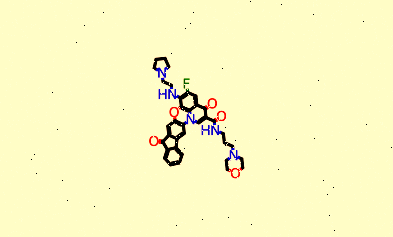 O=C(NCCCN1CCOCC1)c1cn2c3cc4c(cc3oc3c(NCCN5CCCC5)c(F)cc(c1=O)c32)c(=O)c1ccccc14